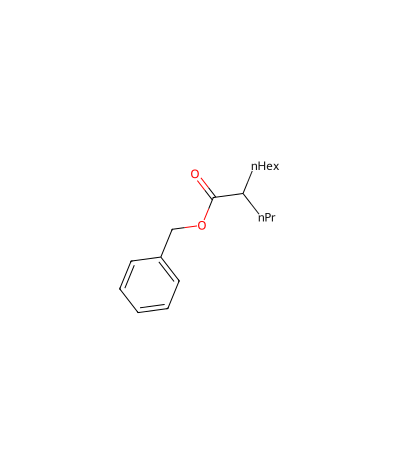 CCCCCCC(CCC)C(=O)OCc1ccccc1